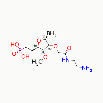 B[C@@H]1O[C@H](CCP(=O)(O)O)[C@@H](OC)[C@H]1OCC(=O)NCCN